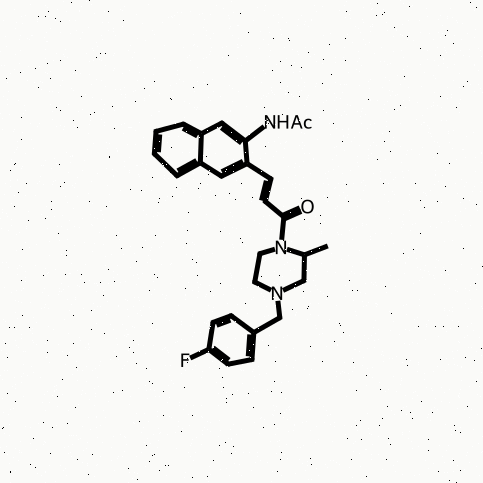 CC(=O)Nc1cc2ccccc2cc1C=CC(=O)N1CCN(Cc2ccc(F)cc2)CC1C